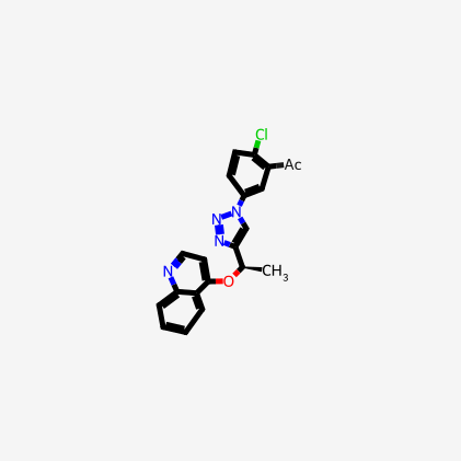 CC(=O)c1cc(-n2cc([C@@H](C)Oc3ccnc4ccccc34)nn2)ccc1Cl